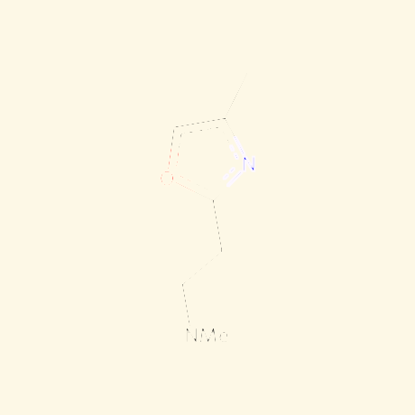 CNCCc1nc(C)co1